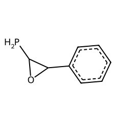 PC1OC1c1ccccc1